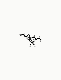 CC=CO[SiH](CCCC)O[Si](C)(C)C